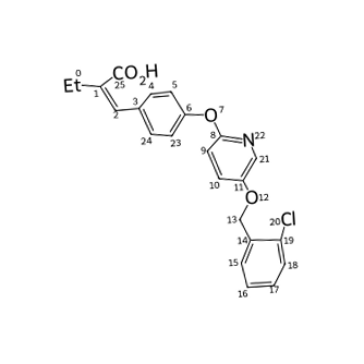 CCC(=Cc1ccc(Oc2ccc(OCc3ccccc3Cl)cn2)cc1)C(=O)O